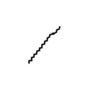 [CH2]CCCC#CCCCCCCCCCCCCCCCCC[CH2]